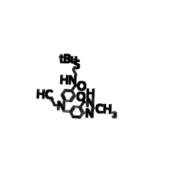 C#CCN(Cc1ccc2nc(C)[nH]c(=O)c2c1)c1ccc(C(=O)NCCSC(C)(C)C)cc1